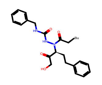 CCC(C)CC(=O)N(NC(=O)NCc1ccccc1)[C@@H](CCc1ccccc1)C(=O)CO